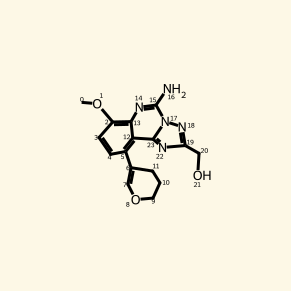 COc1ccc(C2=COCCC2)c2c1nc(N)n1nc(CO)nc21